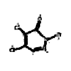 CC(C)n1ncc(Cl)c(Cl)c1=O